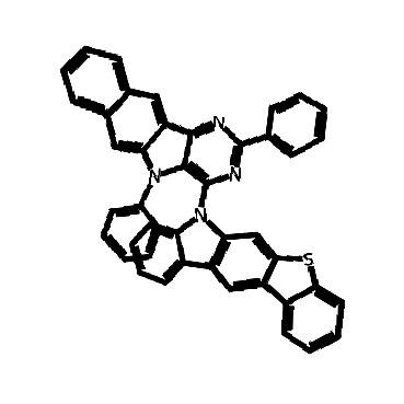 c1ccc(-c2nc(-n3c4ccccc4c4cc5c(cc43)sc3ccccc35)c3c(n2)c2cc4ccccc4cc2n3-c2ccccc2)cc1